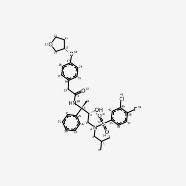 CC(C)CN(C[C@@H](O)[C@@](C)(NC(=O)Cc1ccc(O[C@H]2CCOC2)cc1)c1ccccc1)S(=O)(=O)c1ccc(F)c(Cl)c1